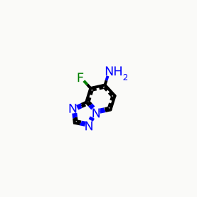 Nc1ccn2ncnc2c1F